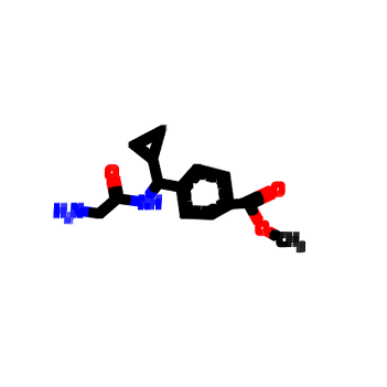 COC(=O)c1ccc(C(NC(=O)CN)C2CC2)cc1